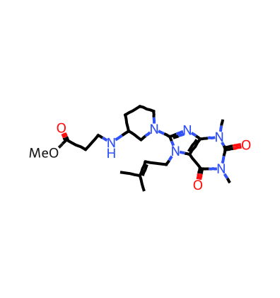 COC(=O)CCNC1CCCN(c2nc3c(c(=O)n(C)c(=O)n3C)n2CC=C(C)C)C1